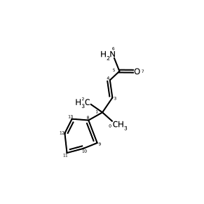 CC(C)(/C=C/C(N)=O)c1ccccc1